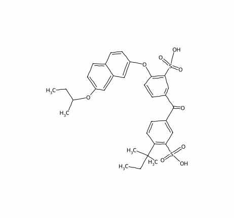 CCC(C)Oc1ccc2ccc(Oc3ccc(C(=O)c4ccc(C(C)(C)CC)c(S(=O)(=O)O)c4)cc3S(=O)(=O)O)cc2c1